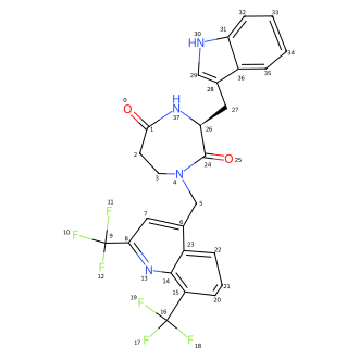 O=C1CCN(Cc2cc(C(F)(F)F)nc3c(C(F)(F)F)cccc23)C(=O)[C@H](Cc2c[nH]c3ccccc23)N1